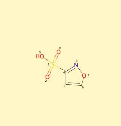 O=S(=O)(O)c1ccon1